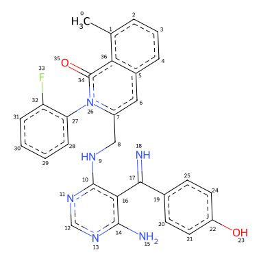 Cc1cccc2cc(CNc3ncnc(N)c3C(=N)c3ccc(O)cc3)n(-c3ccccc3F)c(=O)c12